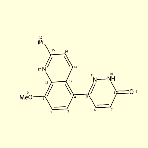 COc1ccc(-c2ccc(=O)[nH]n2)c2ccc(C(C)C)nc12